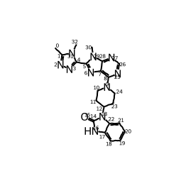 Cc1nnc(-c2nc3c(N4CCC(n5c(=O)[nH]c6ccccc65)CC4)ncnc3n2C)n1C